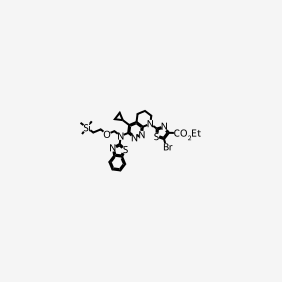 CCOC(=O)c1nc(N2CCCc3c2nnc(N(COCC[Si](C)(C)C)c2nc4ccccc4s2)c3C2CC2)sc1Br